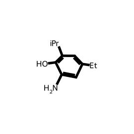 CCc1cc(N)c(O)c(C(C)C)c1